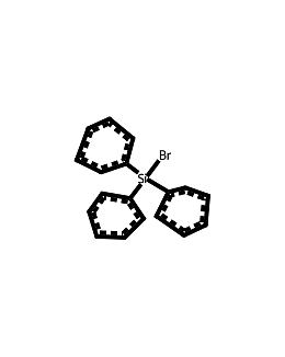 Br[Si](c1ccccc1)(c1ccccc1)c1ccccc1